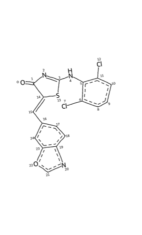 O=C1N=C(Nc2c(Cl)cccc2Cl)S/C1=C\c1ccc2ncoc2c1